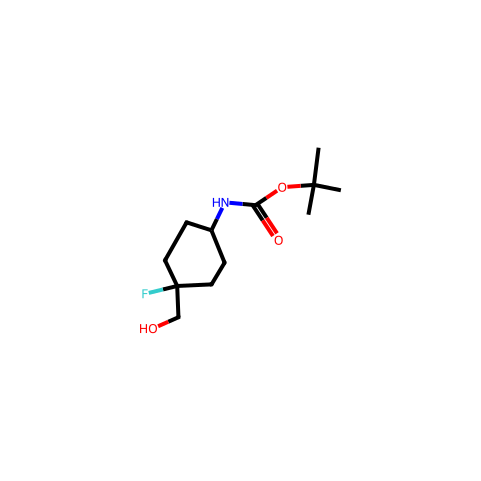 CC(C)(C)OC(=O)NC1CCC(F)(CO)CC1